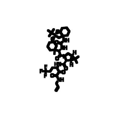 C=CCNC(=O)C(=O)C(CCC(F)(F)F)NC(=O)[C@@H]1[C@@H]2[C@H](CN1C(=O)[C@@H](NC(=O)NC1(CS(=O)(=O)C(C)(C)C)CCCCC1)C1(C)CCCCC1)C2(C)C